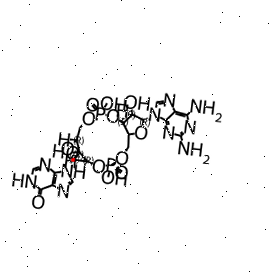 Nc1nc(N)c2ncn([C@@H]3OC4COP(=O)(O)O[C@@H]5[C@H](O)[C@@H](COP(=O)(O)O[C@H]4[C@H]3O)O[C@H]5n3cnc4c(=O)[nH]cnc43)c2n1